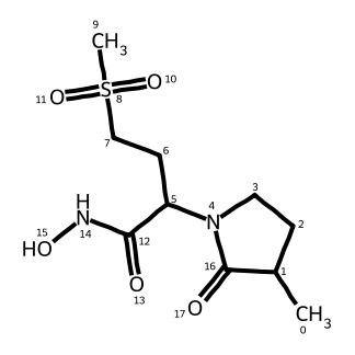 CC1CCN(C(CCS(C)(=O)=O)C(=O)NO)C1=O